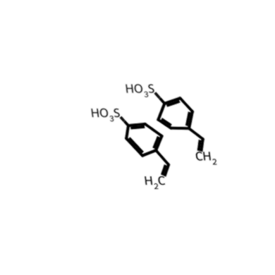 C=Cc1ccc(S(=O)(=O)O)cc1.C=Cc1ccc(S(=O)(=O)O)cc1